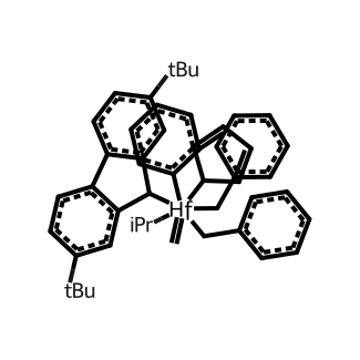 [CH2]=[Hf]([CH2]c1ccccc1)([CH2]c1ccccc1)([c]1ccccc1)([CH](C)C)([CH]1C=CC=C1)[CH]1c2cc(C(C)(C)C)ccc2-c2ccc(C(C)(C)C)cc21